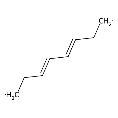 [CH2]CC=CC=CC[CH2]